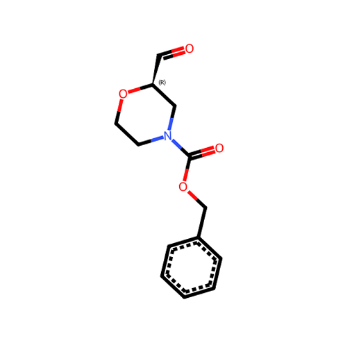 O=C[C@H]1CN(C(=O)OCc2ccccc2)CCO1